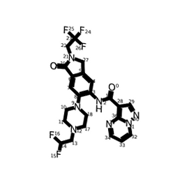 O=C(Nc1cc2c(cc1N1CCN(CC(F)F)CC1)C(=O)N(CC(F)(F)F)C2)c1cnn2cccnc12